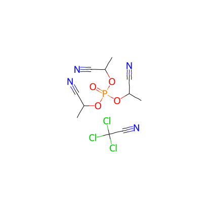 CC(C#N)OP(=O)(OC(C)C#N)OC(C)C#N.N#CC(Cl)(Cl)Cl